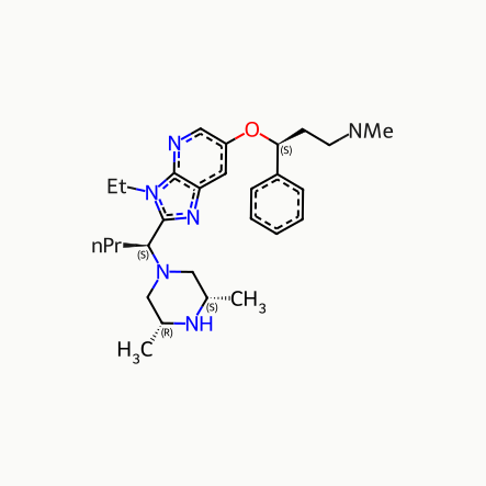 CCC[C@@H](c1nc2cc(O[C@@H](CCNC)c3ccccc3)cnc2n1CC)N1C[C@@H](C)N[C@@H](C)C1